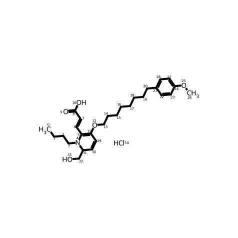 CCCCN1C(C=CC(=O)O)=C(OCCCCCCCCc2ccc(OC)cc2)C=CC1CO.Cl